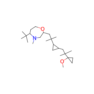 COC1(C(C)(C)CC2CC2C(C)(C)CC2CN(C)C(C(C)(C)C)CCO2)CC1